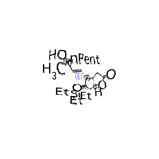 CCCCC[C@@](C)(O)/C=C/[C@@H]1C2CC(=O)O[C@H]2C[C@H]1O[Si](CC)(CC)CC